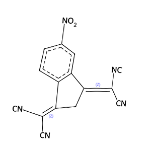 [C-]#[N+]/C(C#N)=C1/C/C(=C(\C#N)[N+]#[C-])c2cc([N+](=O)[O-])ccc21